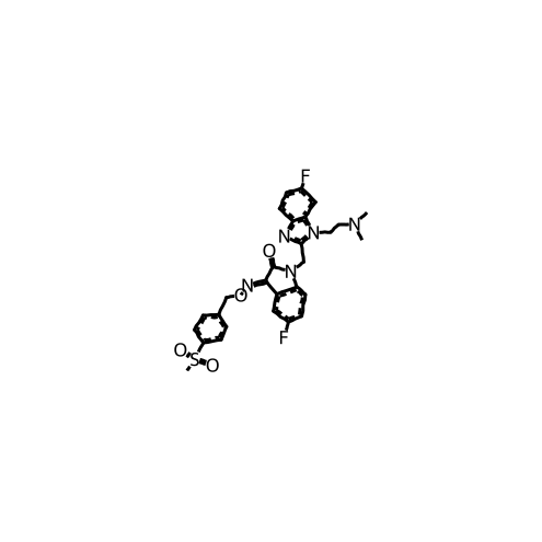 CN(C)CCn1c(CN2C(=O)/C(=N/OCc3ccc(S(C)(=O)=O)cc3)c3cc(F)ccc32)nc2ccc(F)cc21